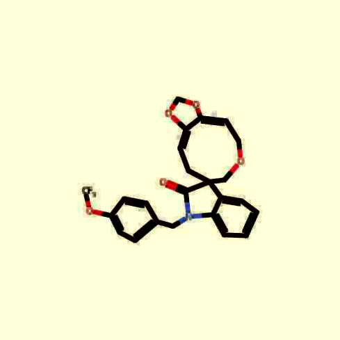 O=C1N(Cc2ccc(OC(F)(F)F)cc2)c2ccccc2C12C/C=C1/OCO/C1=C/COC2